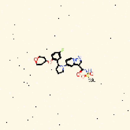 CC(C)(C)S(=O)(=O)NC(=O)c1cnn2ccc(N3CCCC3c3cc(F)ccc3OC3CCOCC3)cc12